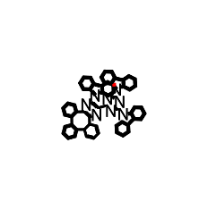 C1=CC2c3ccccc3-c3ccccc3-c3nc(-n4c5ccccc5c5ccccc54)c(-c4nc(-n5c6ccccc6c6ccccc65)nc(-n5c6ccccc6c6ccccc65)n4)nc3C2C=C1